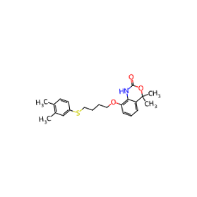 Cc1ccc(SCCCCOc2cccc3c2NC(=O)OC3(C)C)cc1C